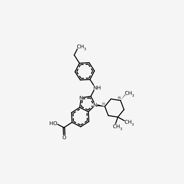 CCc1ccc(Nc2nc3cc(C(=O)O)ccc3n2[C@H]2C[C@H](C)CC(C)(C)C2)cc1